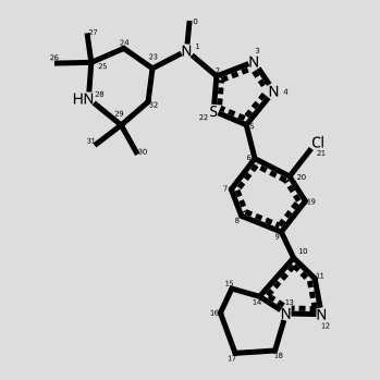 CN(c1nnc(-c2ccc(-c3cnn4c3CCCC4)cc2Cl)s1)C1CC(C)(C)NC(C)(C)C1